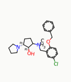 CN(Cc1cc(Cl)ccc1OCc1ccccc1)C1CC[C@@H](N2CCCC2)[C@@H]1O